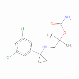 CC(C)(CNC1(c2cc(Cl)cc(Cl)c2)CC1)OC(N)=O